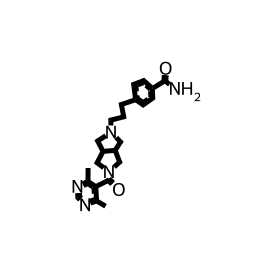 Cc1ncnc(C)c1C(=O)N1CC2CN(CCCc3ccc(C(N)=O)cc3)CC2C1